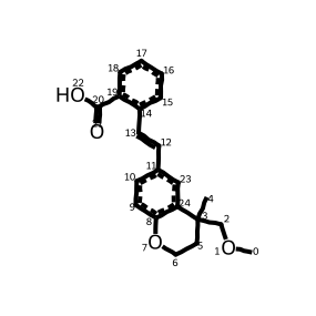 COCC1(C)CCOc2ccc(/C=C/c3ccccc3C(=O)O)cc21